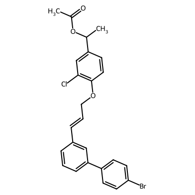 CC(=O)OC(C)c1ccc(OCC=Cc2cccc(-c3ccc(Br)cc3)c2)c(Cl)c1